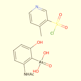 CC(=O)Nc1cccc(O)c1[As](=O)(O)O.Cc1ccncc1S(=O)(=O)Cl